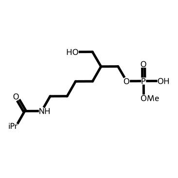 COP(=O)(O)OCC(CO)CCCCNC(=O)C(C)C